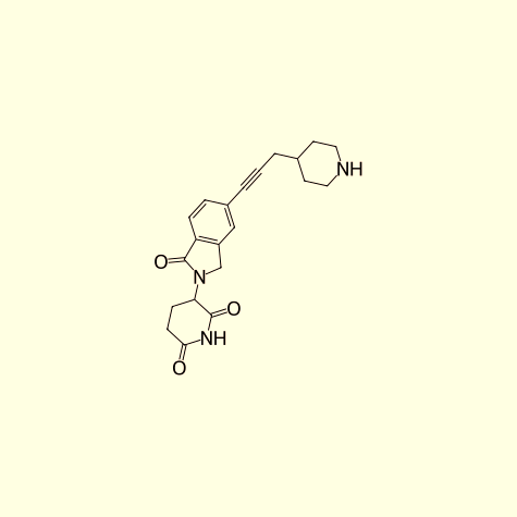 O=C1CCC(N2Cc3cc(C#CCC4CCNCC4)ccc3C2=O)C(=O)N1